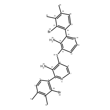 Cc1ccc(-c2nccc(Sc3ccnc(-c4ccc(C)c(C)c4Br)c3N)c2N)c(Br)c1C